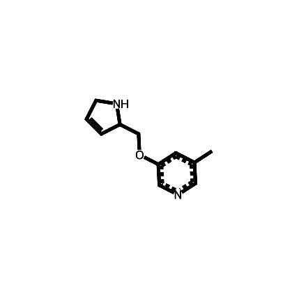 Cc1cncc(OCC2C=CCN2)c1